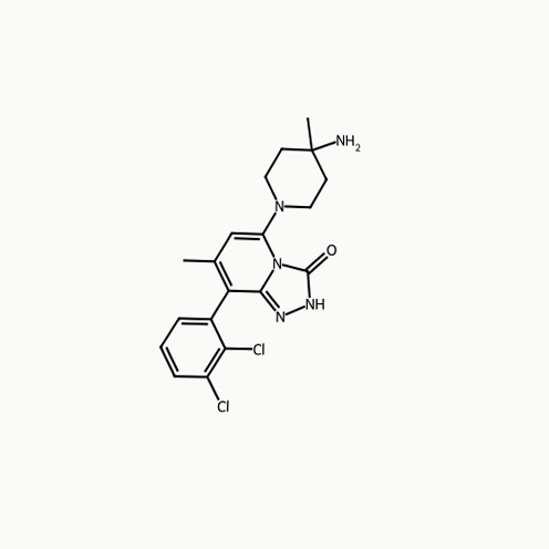 Cc1cc(N2CCC(C)(N)CC2)n2c(=O)[nH]nc2c1-c1cccc(Cl)c1Cl